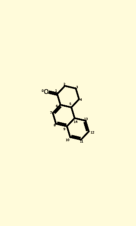 O=C1CCCC2C1=CC=C1C=CC=CC12